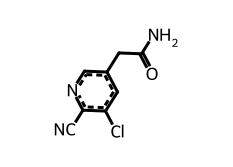 N#Cc1ncc(CC(N)=O)cc1Cl